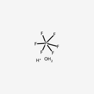 F[P-](F)(F)(F)(F)F.O.[H+]